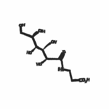 O=C(O)CCNC(=O)[C@H](O)[C@@H](O)[C@H](O)[C@H](O)CO